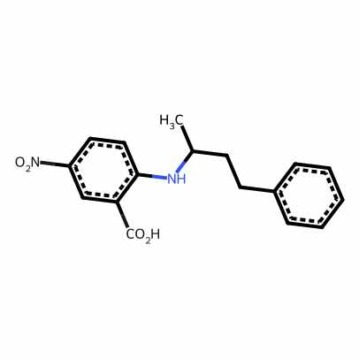 CC(CCc1ccccc1)Nc1ccc([N+](=O)[O-])cc1C(=O)O